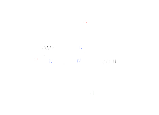 COC(=O)N1c2ccc3c(nc(C[C@H](C(=O)O)c4cccc(Cl)c4)n3[C@H]3CCCOC3)c2CC[C@@H]1C